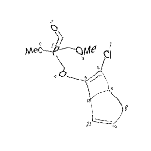 COP(=O)(OC)OC1=C(Cl)C2CC=CC12